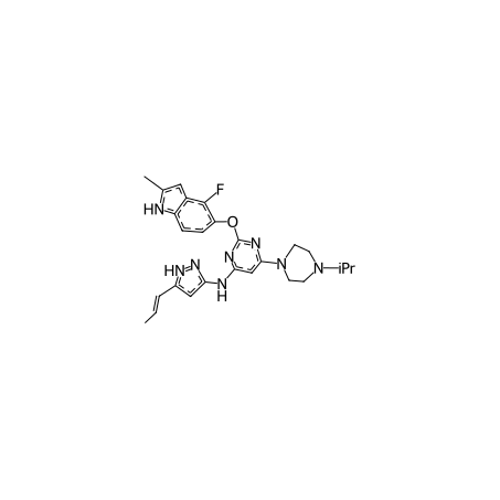 C/C=C/c1cc(Nc2cc(N3CCN(C(C)C)CC3)nc(Oc3ccc4[nH]c(C)cc4c3F)n2)n[nH]1